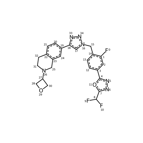 Fc1cc(-c2nnc(C(F)F)o2)ccc1Cn1cc(-c2ccc3c(c2)CN(C2COC2)CC3)nn1